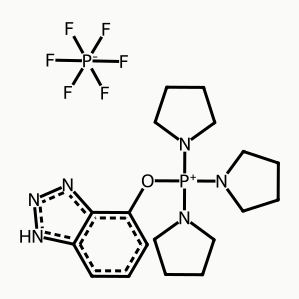 F[P-](F)(F)(F)(F)F.c1cc(O[P+](N2CCCC2)(N2CCCC2)N2CCCC2)c2nn[nH]c2c1